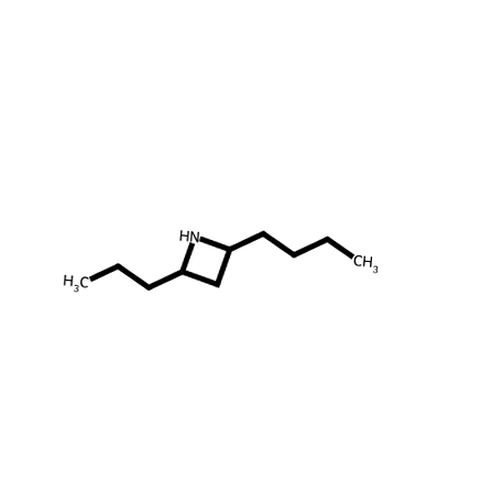 CCCCC1CC(CCC)N1